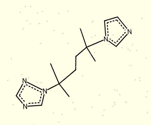 CC(C)(CCC(C)(C)n1cncn1)n1ccnc1